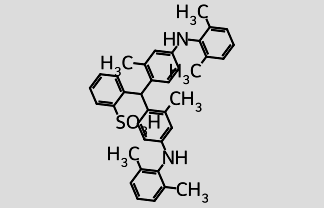 Cc1cc(Nc2c(C)cccc2C)ccc1C(c1ccc(Nc2c(C)cccc2C)cc1C)c1ccccc1S(=O)(=O)O